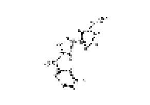 O=C(c1cccc(F)c1)N1CCC(c2cccc(CO)c2)=N1